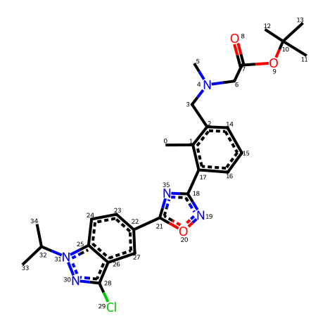 Cc1c(CN(C)CC(=O)OC(C)(C)C)cccc1-c1noc(-c2ccc3c(c2)c(Cl)nn3C(C)C)n1